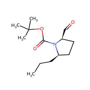 CCC[C@@H]1CC[C@H](C=O)N1C(=O)OC(C)(C)C